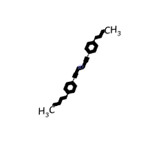 CCCCC[C@H]1CC[C@H](C#C/C=C/C#C[C@H]2CC[C@H](CCCC)CC2)CC1